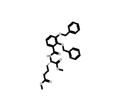 COC(=O)CCC[C@H](NC(=O)c1cccc(OCc2ccccc2)c1OCc1ccccc1)C(=O)OC